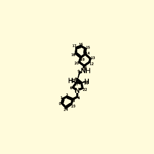 c1ccc(CN2C[C@@H]3[C@@H](CNC4CCc5ccccc5C4)[C@@H]3C2)cc1